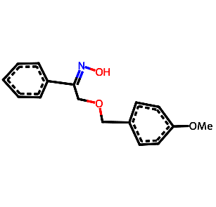 COc1ccc(COCC(=NO)c2ccccc2)cc1